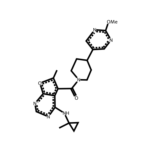 COc1ncc(C2CCN(C(=O)c3c(C)oc4ncnc(NC5(C)CC5)c34)CC2)cn1